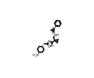 N[C@H]1CC[C@H](Cc2nc(C3(CN[C@@H]4C[C@H]4c4ccccc4)CC3)no2)CC1